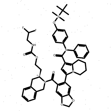 CC(C)(C)[Si](C)(C)Oc1ccc(N(C(=O)c2cc(-c3cc4c(cc3C(=O)N3Cc5ccccc5C[C@H]3CCOC(=O)NCC(F)F)OCO4)n3c2CCCC3)c2ccccc2)cc1